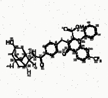 COC(=O)c1c(Cc2ccc(C(=O)N[C@H]3[C@H]4C[C@H]5C[C@H]3C[C@@](O)(C4)C5)cc2)c(=O)c2ccc(C(F)(F)F)nc2n1-c1ccccc1